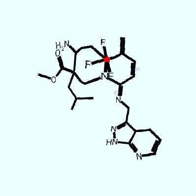 C=C(/C=C\C(=N/CC1=NNC2=NC=CCC12)N1CCC(N)C(CC(C)C)(C(=O)OC)C1)C(F)(F)F